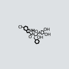 O=C(N[C@H](Cc1ccccc1)[C@H](O)C(=O)N1C[C@@H](O)[C@@H](O)C1)c1cc2cc(Cl)ccc2[nH]1